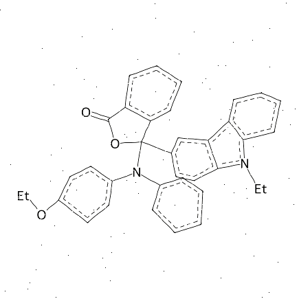 CCOc1ccc(N(c2ccccc2)C2(c3ccc4c(c3)c3ccccc3n4CC)OC(=O)c3ccccc32)cc1